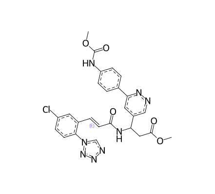 COC(=O)CC(NC(=O)/C=C/c1cc(Cl)ccc1-n1cnnn1)c1cnnc(-c2ccc(NC(=O)OC)cc2)c1